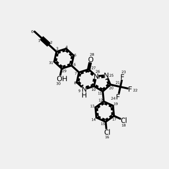 CC#Cc1ccc(-c2c[nH]c3c(-c4ccc(Cl)c(Cl)c4)c(C(F)(F)F)nn3c2=O)c(O)c1